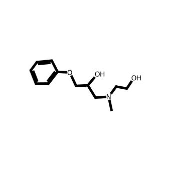 CN(CCO)CC(O)COc1ccccc1